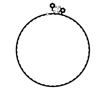 Nc1cccc2c1N=C1C=C(OCc3ccccc3)C=CCC=CC=CC=CC=CC=CC=CC=CC=CC=CC=CC=CC=CC=CC=CC=CC=CC=CC=CC=CC=CC=CC=CC=CC=CC=CC=CC=CC=CC=CC=CC=CC=CC=CC=CC=CC=CC=CC=CC=CC=CC=CC=CC=CC=CC=CC=CC=C12